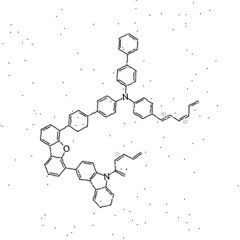 C=C/C=C\C=C\c1ccc(N(c2ccc(C3=CC=C(c4cccc5c4oc4c(-c6ccc7c(c6)c6c(n7C(=C)/C=C\C=C)=CCCC=6)cccc45)CC3)cc2)c2ccc(-c3ccccc3)cc2)cc1